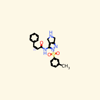 Cc1cccc(S(=O)(=O)n2nc3c(c2NC(=O)/C=C\c2ccccc2)CNC3)c1